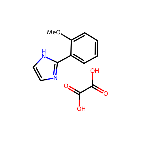 COc1ccccc1-c1ncc[nH]1.O=C(O)C(=O)O